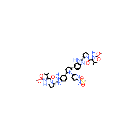 COC(=O)N[C@H](C(=O)N1CCC[C@H]1c1nc2ccc([C@H]3CC[C@H](c4ccc5nc([C@@H]6CCCN6C(=O)[C@@H](NC(=O)OC)C(C)C)[nH]c5c4)N3c3ccc(N(C)S(C)(=O)=O)nc3)cc2[nH]1)C(C)C